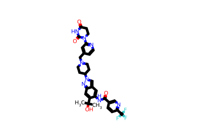 CC(C)(O)c1cc2nn(C3CCN(Cc4ccnc(N5CCC(=O)NC5=O)c4)CC3)cc2cc1NC(=O)c1ccc(C(F)(F)F)nc1